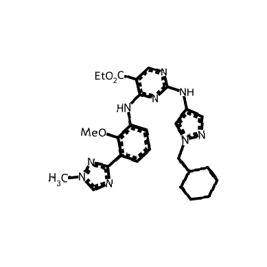 CCOC(=O)c1cnc(Nc2cnn(CC3CCCCC3)c2)nc1Nc1cccc(-c2ncn(C)n2)c1OC